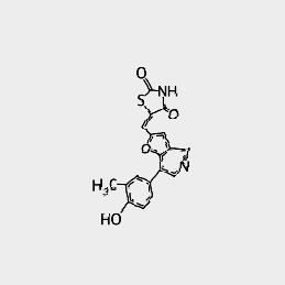 Cc1cc(-c2cncc3cc(/C=C4/SC(=O)NC4=O)oc23)ccc1O